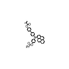 C=C(C)C(=O)Oc1ccc(-c2ccc(N(c3ccc(OC(=O)C(C)C)cc3)c3ccc4ccc5c6c4c3CC=C6CC=C5)cc2)cc1